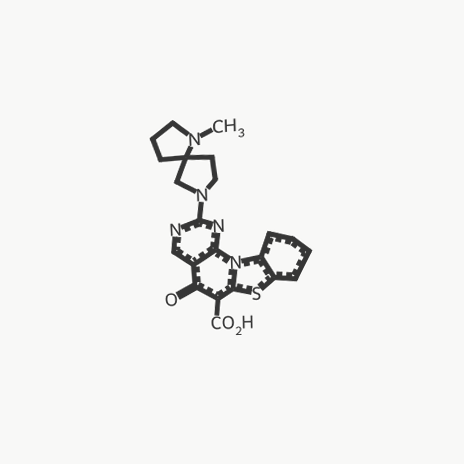 CN1CCCC12CCN(c1ncc3c(=O)c(C(=O)O)c4sc5ccccc5n4c3n1)C2